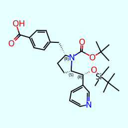 CC(C)(C)OC(=O)N1[C@@H](Cc2ccc(C(=O)O)cc2)CC[C@H]1[C@H](O[Si](C)(C)C(C)(C)C)c1cccnc1